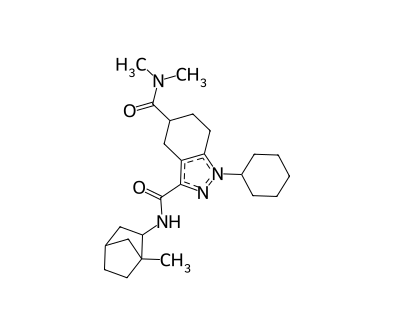 CN(C)C(=O)C1CCc2c(c(C(=O)NC3CC4CCC3(C)C4)nn2C2CCCCC2)C1